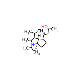 CC(C)C1C(C)N(C(C)C)[C@@H]2CCC[C@H](CC[C@H](C)O)[C@H]12